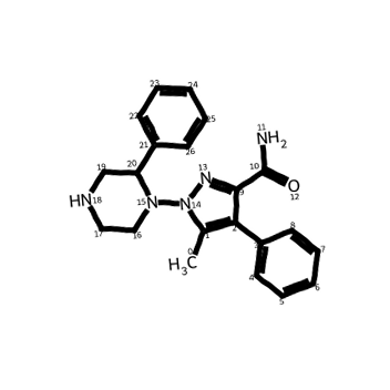 Cc1c(-c2ccccc2)c(C(N)=O)nn1N1CCNCC1c1ccccc1